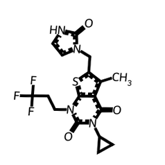 Cc1c(Cn2cc[nH]c2=O)sc2c1c(=O)n(C1CC1)c(=O)n2CCC(F)(F)F